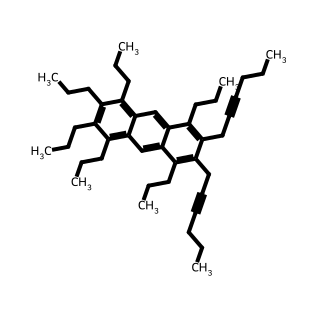 CCCC#CCc1c(CC#CCCC)c(CCC)c2cc3c(CCC)c(CCC)c(CCC)c(CCC)c3cc2c1CCC